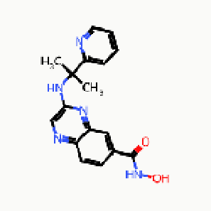 CC(C)(Nc1cnc2ccc(C(=O)NO)cc2n1)c1ccccn1